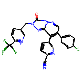 N#Cc1ccc(-c2c(-c3ccc(Cl)cc3)cnn3c(=O)n(Cc4ccc(C(F)(F)F)nc4)nc23)cn1